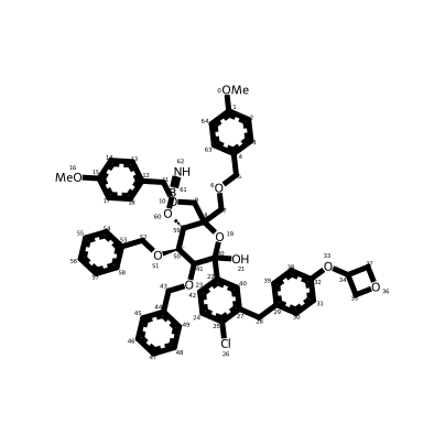 COc1ccc(COCC2(COCc3ccc(OC)cc3)OC(O)(c3ccc(Cl)c(Cc4ccc(OC5COC5)cc4)c3)C(OCc3ccccc3)[C@@H](OCc3ccccc3)[C@@H]2OB=N)cc1